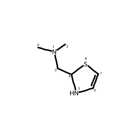 CN(C)C[C]1NC=CS1